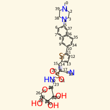 CN1CCN(c2ccc3cc(-c4ccc(/C=C(\C#N)S(=O)(=O)NC[C@H]5OC[C@H](O)[C@@H](O)[C@@H]5O)s4)ccc3c2)CC1